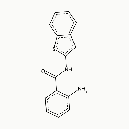 Nc1ccccc1C(=O)Nc1cc2ccccc2s1